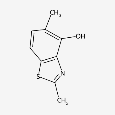 Cc1nc2c(O)c(C)ccc2s1